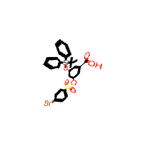 CC(C)(C)[Si](O[C@H]1C[C@H](OS(=O)(=O)c2ccc(Br)cc2)C[C@H](C(=O)O)C1)(c1ccccc1)c1ccccc1